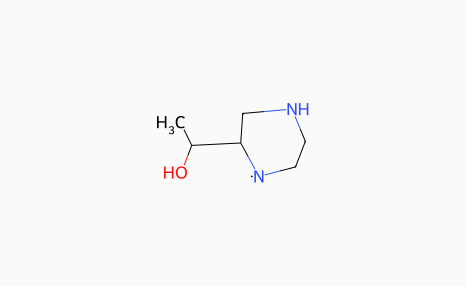 CC(O)C1CNCC[N]1